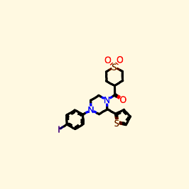 O=C(C1CCS(=O)(=O)CC1)N1CCN(c2ccc(I)cc2)CC1c1cccs1